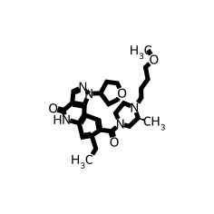 CCc1cc2[nH]c(=O)c3cnn(C4CCOCC4)c3c2cc1C(=O)N1CCN(CCCCOC)[C@H](C)C1